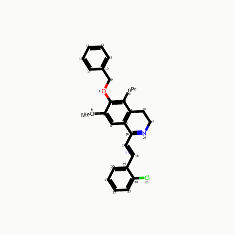 CCCc1c2c(cc(OC)c1OCc1ccccc1)C(/C=C/c1ccccc1Cl)=NCC2